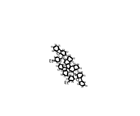 CCc1ccc(N(c2cc3c(c4ccccc24)-c2c(cc(N(c4ccc(CC)cc4)c4cccc5c4oc4ccccc45)c4ccccc24)C3(c2ccccc2)c2ccccc2)c2cccc3c2oc2ccccc23)cc1